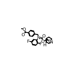 COC(=O)c1ccc(CN(C(=O)O[C@H]2CN3CCC2CC3)c2cc(F)ccc2F)cc1